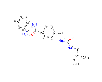 CCC(C)CNC(=O)NCc1ccc(C(=O)Nc2ccccc2N)cc1